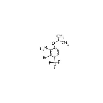 CC(C)Oc1ccc(C(F)(F)F)c(Br)c1N